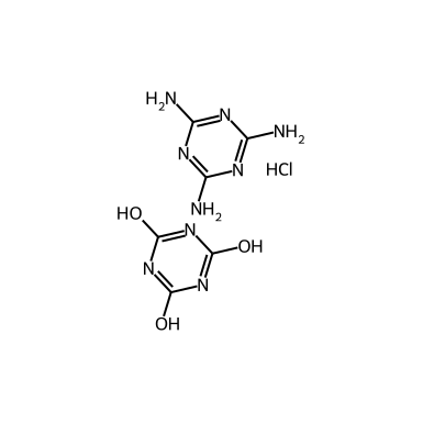 Cl.Nc1nc(N)nc(N)n1.Oc1nc(O)nc(O)n1